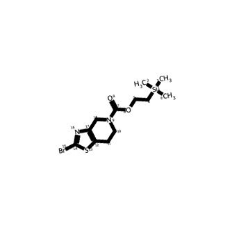 C[Si](C)(C)CCOC(=O)N1CCc2sc(Br)nc2C1